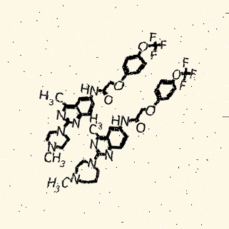 Cc1nc(N2CCCN(C)CC2)nc2ccc(NC(=O)COc3ccc(OC(F)(F)F)cc3)cc12.Cc1nc(N2CCN(C)CC2)nc2ccc(NC(=O)COc3ccc(OC(F)(F)F)cc3)cc12